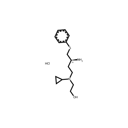 Cl.N[C@@H](CCN(CCO)C1CC1)CSc1ccccc1